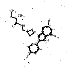 CC[C@H](N)C(=O)NC[C@H]1C[C@H](c2c(-c3ccc(F)cc3)[nH]c3c(F)cc(F)cc32)C1